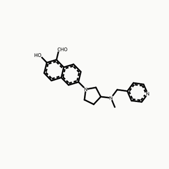 CN(Cc1ccncc1)C1CCN(c2ccc3c(C=O)c(O)ccc3c2)C1